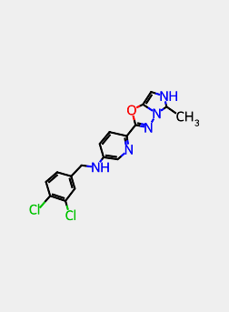 CC1NC=C2OC(c3ccc(NCc4ccc(Cl)c(Cl)c4)cn3)=NN21